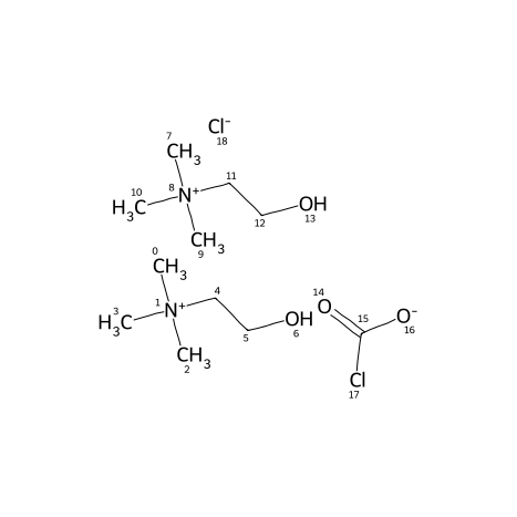 C[N+](C)(C)CCO.C[N+](C)(C)CCO.O=C([O-])Cl.[Cl-]